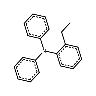 C[CH]c1ccccc1N(c1ccccc1)c1ccccc1